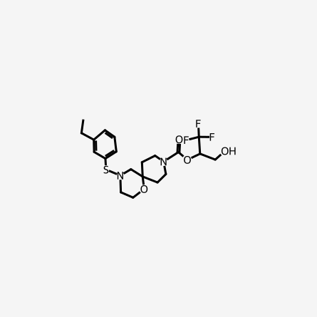 CCc1cccc(SN2CCOC3(CCN(C(=O)OC(CO)C(F)(F)F)CC3)C2)c1